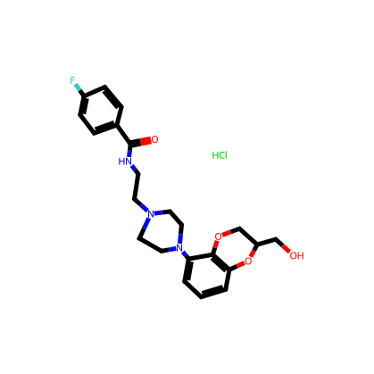 Cl.O=C(NCCN1CCN(c2cccc3c2OCC(CO)O3)CC1)c1ccc(F)cc1